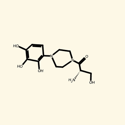 N[C@@H](CO)C(=O)N1CCN(c2ccc(O)c(O)c2O)CC1